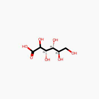 O=C(O)C(O)[C@@H](O)[C@H](O)[C@H](O)CO